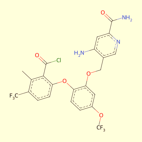 Cc1c(C(F)(F)F)ccc(Oc2ccc(OC(F)(F)F)cc2OCc2cnc(C(N)=O)cc2N)c1C(=O)Cl